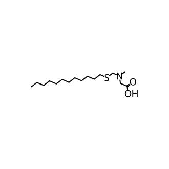 CCCCCCCCCCCCSCN(C)CC(=O)O